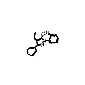 CCc1c(-c2ccccc2)nn(-c2ccccc2C)c1O